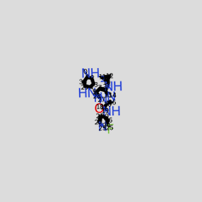 N[C@H]1CC[C@H](Nc2cc(NC3CC3)c3ncc(C(=O)Nc4ccnc(F)c4)n3n2)CC1